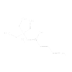 CCCCN(S)[SiH2][Si](CC)(CC)CC